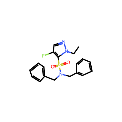 CCn1ncc(F)c1S(=O)(=O)N(Cc1ccccc1)Cc1ccccc1